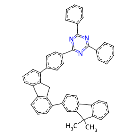 CC1(C)c2ccccc2-c2ccc(-c3cccc4c3Cc3c(-c5ccc(-c6nc(-c7ccccc7)nc(-c7ccccc7)n6)cc5)cccc3-4)cc21